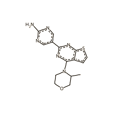 CC1COCCN1c1nc(-c2cnc(N)nc2)nc2sccc12